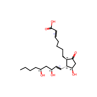 CCCC[C@H](O)C[C@H](O)/C=C/[C@H]1[C@H](O)CC(=O)[C@@H]1CCCC/C=C/C(=O)O